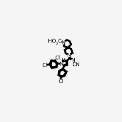 N#CN=C(c1cc(-c2ccc(Cl)cc2)n(-c2ccc(Cl)cc2Cl)n1)N1CCC2(CCCN(C(=O)O)C2)CC1